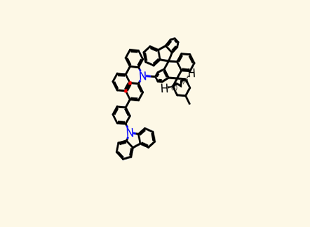 CC1C[C@H]2CCC[C@H](C1)C21c2ccccc2C2(c3ccccc3-c3ccccc32)c2cc(N(c3ccc(-c4cccc(-n5c6ccccc6c6ccccc65)c4)cc3)c3ccccc3-c3ccccc3)ccc21